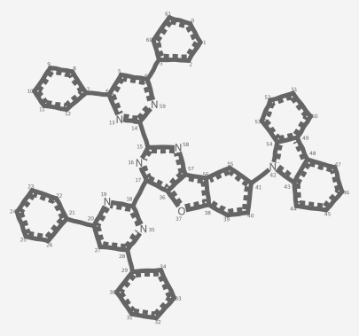 c1ccc(-c2cc(-c3ccccc3)nc(-c3nc(-c4nc(-c5ccccc5)cc(-c5ccccc5)n4)c4oc5ccc(-n6c7ccccc7c7ccccc76)cc5c4n3)n2)cc1